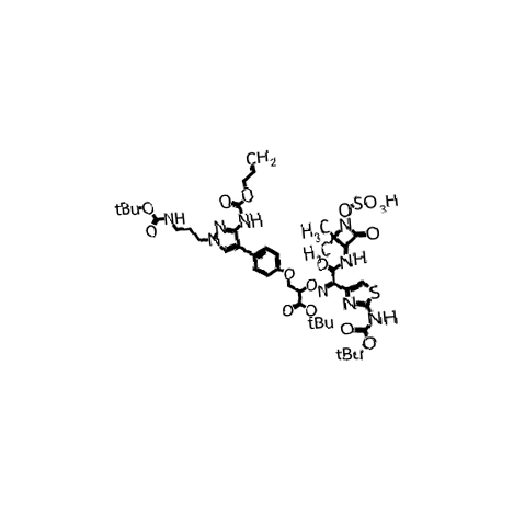 C=CCOC(=O)Nc1nn(CCCNC(=O)OC(C)(C)C)cc1-c1ccc(OCC(O/N=C(\C(=O)NC2C(=O)N(OS(=O)(=O)O)C2(C)C)c2csc(NC(=O)OC(C)(C)C)n2)C(=O)OC(C)(C)C)cc1